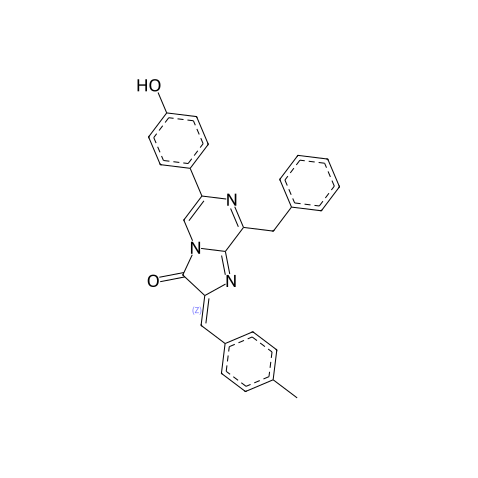 Cc1ccc(/C=C2\N=C3C(Cc4ccccc4)=NC(c4ccc(O)cc4)=CN3C2=O)cc1